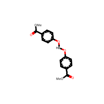 COC(=O)c1ccc(OBOc2ccc(C(=O)OC)cc2)cc1